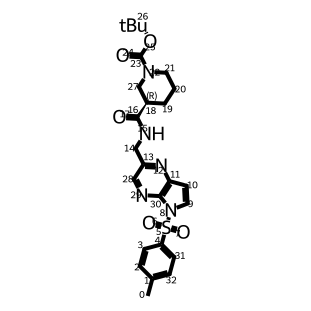 Cc1ccc(S(=O)(=O)n2ccc3nc(CNC(=O)[C@@H]4CCCN(C(=O)OC(C)(C)C)C4)cnc32)cc1